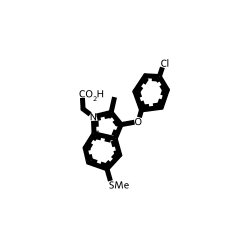 CSc1ccc2c(c1)c(Oc1ccc(Cl)cc1)c(C)n2CC(=O)O